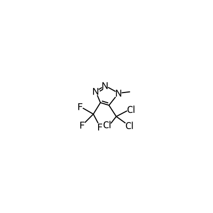 Cn1nnc(C(F)(F)F)c1C(Cl)(Cl)Cl